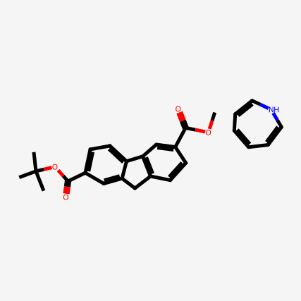 C1=CC=CNC=C1.COC(=O)c1ccc2c(c1)-c1ccc(C(=O)OC(C)(C)C)cc1C2